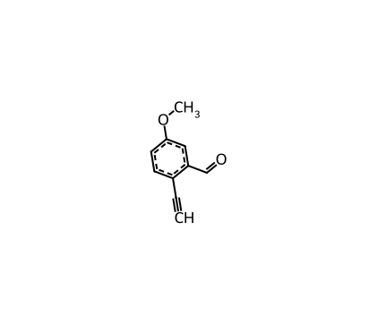 C#Cc1ccc(OC)cc1C=O